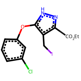 CCOC(=O)c1n[nH]c(Oc2cccc(Cl)c2)c1CI